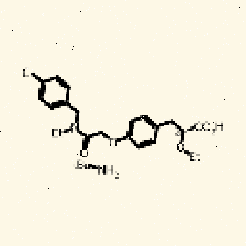 CC(C)(C)N.CCO[C@@H](Cc1ccc(OCC(=O)N(CC)Cc2ccc(Cl)cc2)cc1)C(=O)O